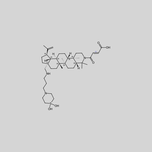 C=C(C)[C@@H]1CC[C@]2(CNCCCN3CCS(O)(O)CC3)CC[C@]3(C)[C@H](CC[C@@H]4[C@@]5(C)CCN(C(=O)/C=C/C(=O)O)C(C)(C)[C@@H]5CC[C@]43C)[C@@H]12